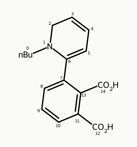 CCCCN1CC=CC=C1c1cccc(C(=O)O)c1C(=O)O